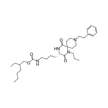 CCCCC(CC)COC(=O)NCCCC[C@@H]1NC(=O)C2(CCN(CCc3ccccc3)CC2)N(CCC)C1=O